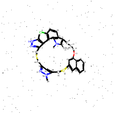 Cc1[nH]nc2c1-c1c(Cl)ccc3c(c(C(=O)O)n(C)c13)CCCOc1cc(cc3ccccc13)SCc1cc(nn1C)CSC2